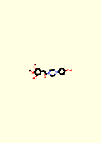 COc1cc(CC(=O)N2CCN(c3ccc(O)cc3)CC2)cc(OC)c1OC